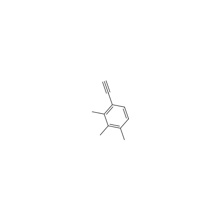 C#Cc1ccc(C)c(C)c1C